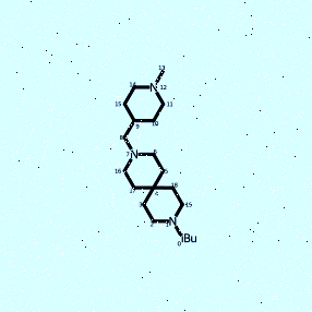 CCC(C)N1CCC2(CCN(CC3CCN(C)CC3)CC2)CC1